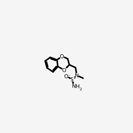 CN(CC1COc2ccccc2O1)[S+](N)[O-]